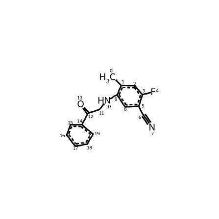 Cc1cc(F)c(C#N)cc1NCC(=O)c1ccccc1